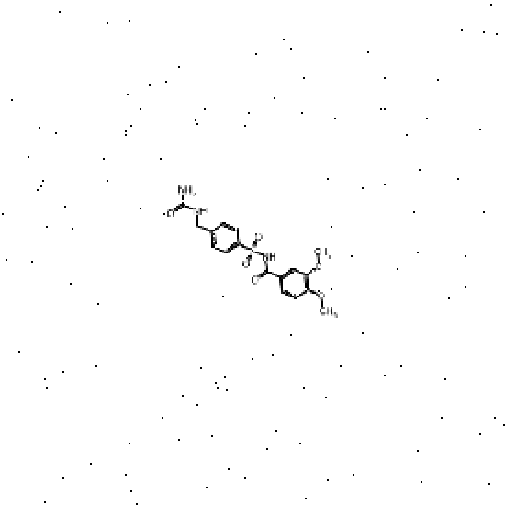 COc1ccc(C(=O)NS(=O)(=O)c2ccc(CNC(N)=O)cc2)cc1OC